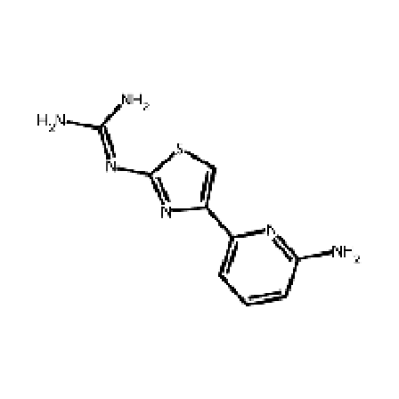 NC(N)=Nc1nc(-c2cccc(N)n2)cs1